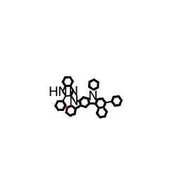 c1ccc(-c2cc3c(c4ccccc24)c2cc4c5ccccc5n(C5=Nc6ccccc6NC5c5ccccc5)c4cc2n3-c2ccccc2)cc1